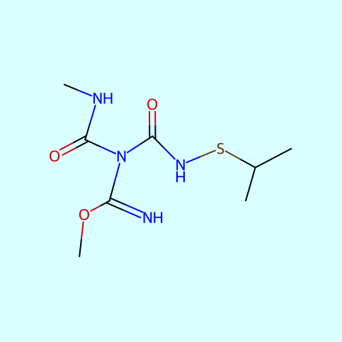 CNC(=O)N(C(=N)OC)C(=O)NSC(C)C